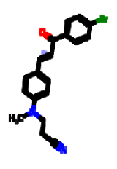 CN(CCC#N)c1ccc(/C=C/C(=O)c2ccc(Br)cc2)cc1